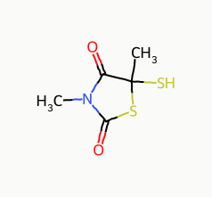 CN1C(=O)SC(C)(S)C1=O